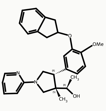 COc1ccc([C@H]2CN(c3ccccn3)C[C@@]2(C)[C@@H](C)O)cc1OC1Cc2ccccc2C1